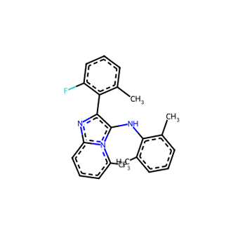 Cc1cccc(C)c1Nc1c(-c2c(C)cccc2F)nc2cccc(C(F)(F)F)n12